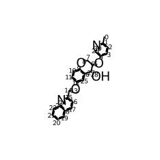 Cc1ccc(OC2COc3ccc(OCc4ccc5ccccc5n4)cc3C2O)cn1